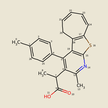 Cc1ccc(-c2c(C(C)C(=O)O)c(C)nc3sc4c(c23)CC=CC=C4)cc1